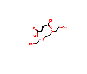 O=C(O)C=CC(=O)O.OCCOCCOCCO